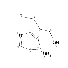 CCCCO.N.c1ccncc1